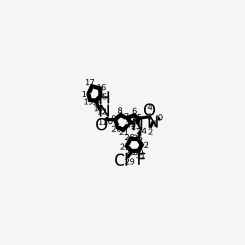 CN(C)C(=O)c1cc2cc(C(=O)NCc3ccccc3)ccc2n1Cc1ccc(Cl)c(F)c1